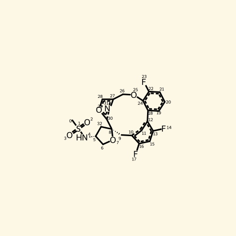 CS(=O)(=O)N[C@H]1CO[C@@]2(Cc3cc(c(F)cc3F)-c3cccc(F)c3OCc3coc2n3)C1